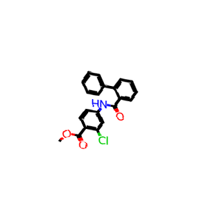 COC(=O)c1ccc(NC(=O)c2ccccc2-c2ccccc2)cc1Cl